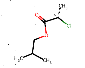 CC(C)COC(=O)[C@H](C)Cl